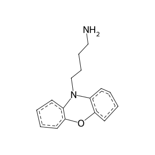 NCCCCN1c2ccccc2Oc2ccccc21